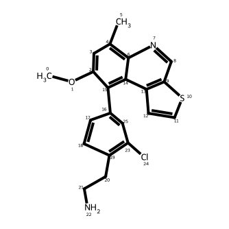 COc1cc(C)c2ncc3sccc3c2c1-c1ccc(CCN)c(Cl)c1